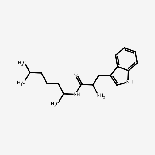 CC(C)CCCC(C)NC(=O)C(N)Cc1c[nH]c2ccccc12